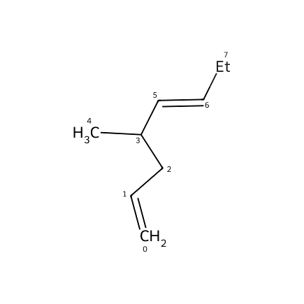 C=CCC(C)C=CCC